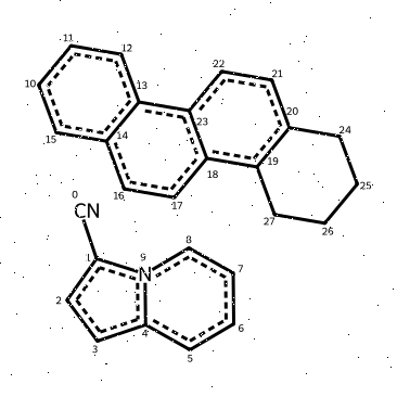 N#Cc1ccc2ccccn12.c1ccc2c(c1)ccc1c3c(ccc12)CCCC3